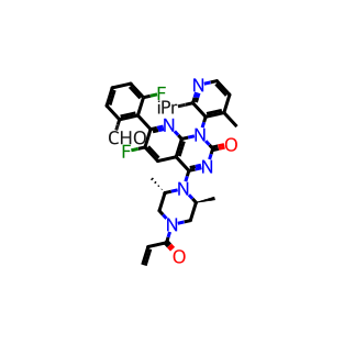 C=CC(=O)N1C[C@H](C)N(c2nc(=O)n(-c3c(C)ccnc3C(C)C)c3nc(-c4c(F)cccc4C=O)c(F)cc23)[C@@H](C)C1